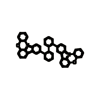 c1ccc2c(c1)Oc1cccc3c4cc(-c5ccccc5-c5ccccc5-c5ccc6c(c5)c5cccc7c5n6-c5ccccc5O7)ccc4n-2c13